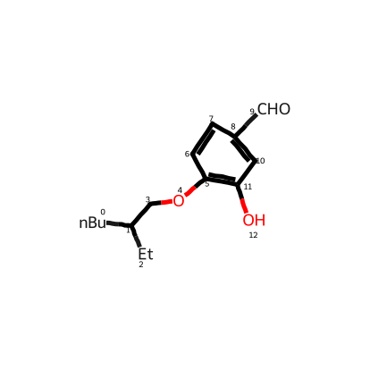 CCCCC(CC)COc1ccc(C=O)cc1O